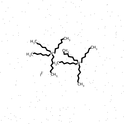 CCCCCCC[N+](CCCCCCC)(CCCCCCC)CCCCCCC.CCCCCCC[N+](CCCCCCC)(CCCCCCC)CCCCCCC.[I-].[I-]